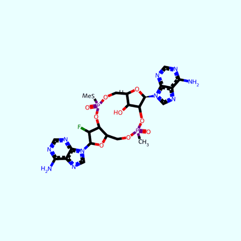 CSP1(=O)OC[C@H]2O[C@@H](n3cnc4c(N)ncnc43)C(OP(C)(=O)OCC3OC(n4cnc5c(N)ncnc54)C(F)C3O1)C2O